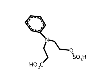 O=C(O)CCN(CCOS(=O)(=O)O)c1ccccc1